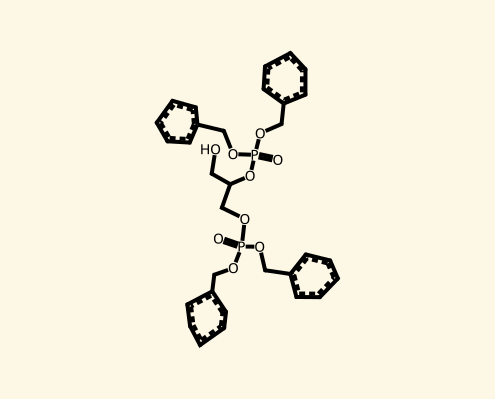 O=P(OCc1ccccc1)(OCc1ccccc1)OCC(CO)OP(=O)(OCc1ccccc1)OCc1ccccc1